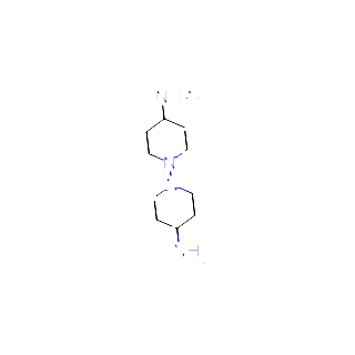 CC(=O)NC1CCN(N2CCC(N)CC2)CC1